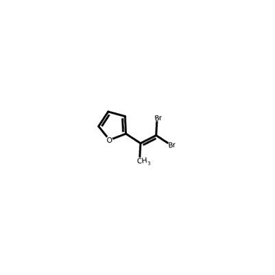 CC(=C(Br)Br)c1ccco1